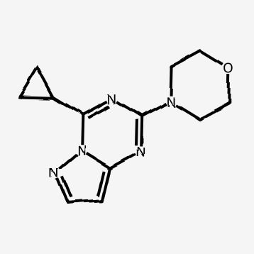 c1cc2nc(N3CCOCC3)nc(C3CC3)n2n1